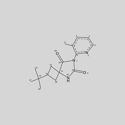 Cc1cccnc1N1C(=O)NC2(CC(C(C)(C)C)C2)C1=O